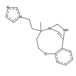 CC1(CCn2ccnc2)CCOc2ccccc2C2=CN1CN2